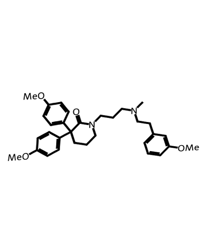 COc1ccc(C2(c3ccc(OC)cc3)CCCN(CCCN(C)CCc3cccc(OC)c3)C2=O)cc1